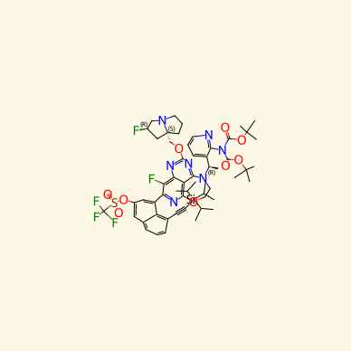 CC(C)[Si](C#Cc1cccc2cc(OS(=O)(=O)C(F)(F)F)cc(-c3nc4c5c(nc(OC[C@@]67CCCN6C[C@H](F)C7)nc5c3F)N([C@H](C)c3cccnc3N(C(=O)OC(C)(C)C)C(=O)OC(C)(C)C)CCO4)c12)(C(C)C)C(C)C